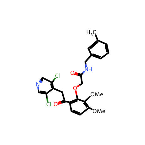 COc1ccc(C(=O)Cc2c(Cl)cncc2Cl)c(OCC(=O)NCc2cccc(C)c2)c1OC